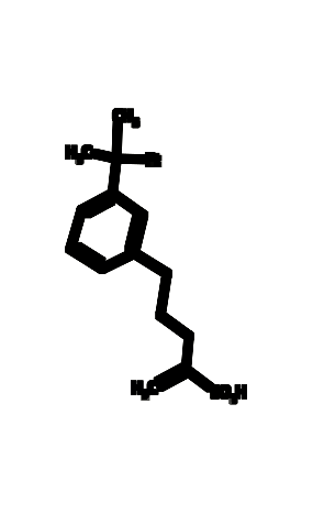 C=C(CCCc1cccc(C(C)(C)CC)c1)S(=O)(=O)O